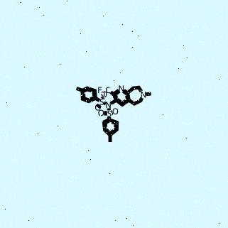 Cc1ccc(S(=O)(=O)N(c2cc3c(nc2C(F)(F)F)CCN(C)CC3)S(=O)(=O)c2ccc(C)cc2)cc1